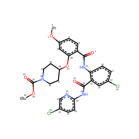 CC(C)Oc1ccc(C(=O)Nc2ccc(Cl)cc2C(=O)Nc2ccc(Cl)cn2)c(OC2CCN(C(=O)OC(C)(C)C)CC2)c1